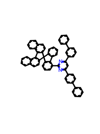 c1ccc(-c2ccc(-c3cc(-c4cccc(-c5ccccc5)c4)nc(-c4cccc5c4-c4ccccc4C54c5ccc6ccccc6c5-c5c4ccc4ccccc54)n3)cc2)cc1